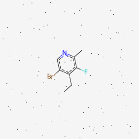 CCc1c(Br)cnc(C)c1F